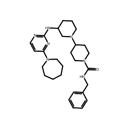 O=C(NCc1ccccc1)N1CCC(N2CCCC(Nc3nccc(N4CCCCCC4)n3)C2)CC1